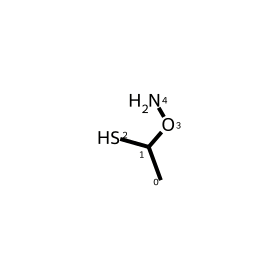 CC(S)ON